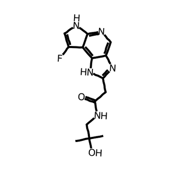 CC(C)(O)CNC(=O)Cc1nc2cnc3[nH]cc(F)c3c2[nH]1